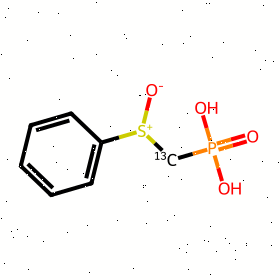 O=P(O)(O)[13CH2][S+]([O-])c1ccccc1